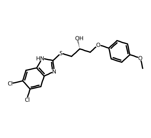 COc1ccc(OC[C@@H](O)CSc2nc3cc(Cl)c(Cl)cc3[nH]2)cc1